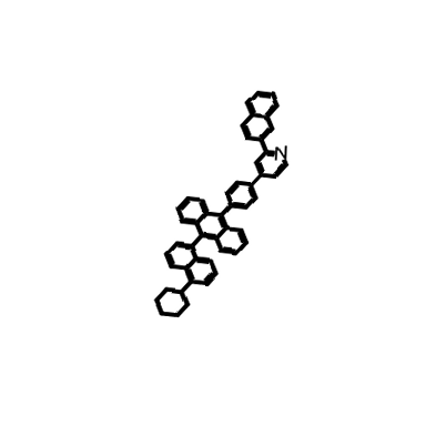 c1ccc2cc(-c3cc(-c4ccc(-c5c6ccccc6c(-c6cccc7c(C8CCCCC8)cccc67)c6ccccc56)cc4)ccn3)ccc2c1